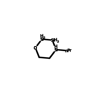 CCC[SiH]1CCO[SiH2][SiH2]1